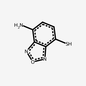 Nc1ccc(S)c2nonc12